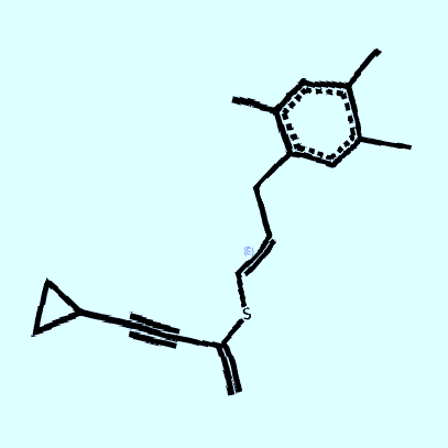 C=C(C#CC1CC1)S/C=C/Cc1cc(C)c(C)cc1C